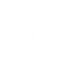 CC1(C)OB(c2ccccc2C(=O)N2CC(F)(F)C2)OC1(C)C